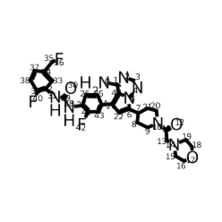 Nc1ncnn2c(C3CCN(C(=O)CN4CCOCC4)CC3)cc(-c3ccc(NC(=O)Nc4cc(CF)ccc4F)c(F)c3)c12